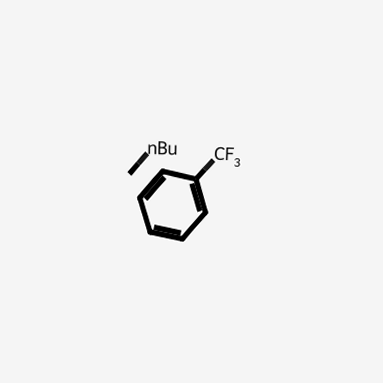 CCCCC.FC(F)(F)c1ccccc1